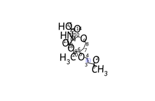 CC(=O)/C=C/OC1CCOC[C@H](NC(=O)O)C(=O)OC1C